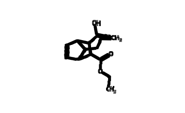 C=CCC1C2C=CC1C(C(=O)OCC)C2C(=O)O